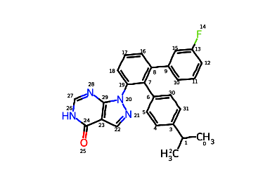 CC(C)c1ccc(-c2c(-c3cccc(F)c3)cccc2-n2ncc3c(=O)[nH]cnc32)cc1